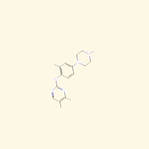 CCc1cc(N2C[C@@H](C)N(C(=O)O)[C@@H](C)C2)ccc1Nc1ncc(C(F)(F)F)c(Cl)n1